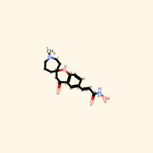 CN1CCCC2(CC1)CC(=O)c1cc(/C=C/C(=O)NO)ccc1O2